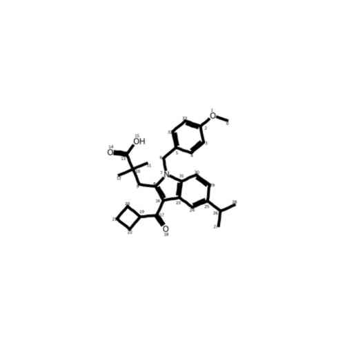 COc1ccc(Cn2c(CC(C)(C)C(=O)O)c(C(=O)C3CCC3)c3cc(C(C)C)ccc32)cc1